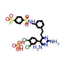 Nc1nc(N)c(-c2ccc(Cl)c(Cl)c2)c(CCc2cccc(CNS(=O)(=O)c3ccc(S(=O)(=O)F)cc3)c2)n1.O=S(=O)(O)O